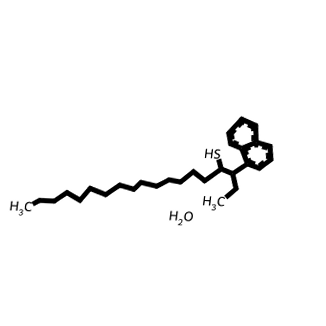 CCCCCCCCCCCCCCCC(S)C(CC)c1cccc2ccccc12.O